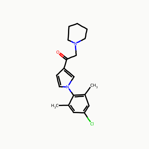 Cc1cc(Cl)cc(C)c1-n1ccc(C(=O)CN2CCCCC2)c1